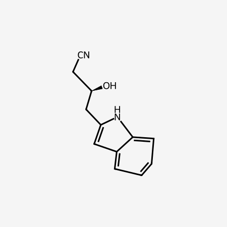 N#CC[C@@H](O)Cc1cc2ccccc2[nH]1